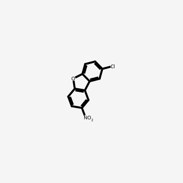 O=[N+]([O-])c1ccc2oc3ccc(Cl)cc3c2c1